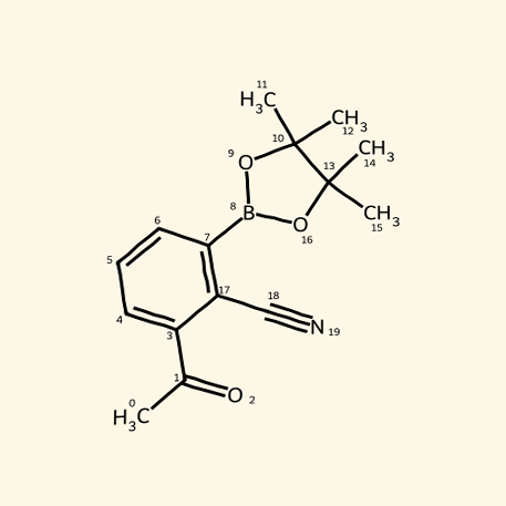 CC(=O)c1cccc(B2OC(C)(C)C(C)(C)O2)c1C#N